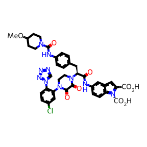 COC1CCN(C(=O)Nc2ccc(C[C@@H](C(=O)Nc3ccc4c(c3)cc(C(=O)O)n4C(=O)O)N3CCN(c4cc(Cl)ccc4-n4cnnn4)C(=O)C3=O)cc2)CC1